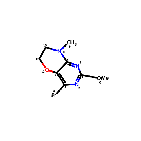 COc1nc(C(C)C)c2c(n1)N(C)CCO2